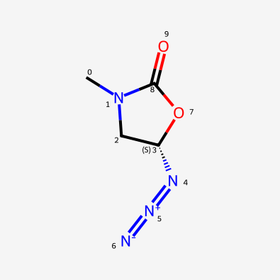 CN1C[C@@H](N=[N+]=[N-])OC1=O